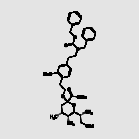 COC(=O)[C@@]1(OCCc2ccc(CCN(Cc3ccccc3)C(=O)OCc3ccccc3)cc2OC)C[C@@H](C)[C@@H](C)C([C@H](C)COC(C)=O)O1